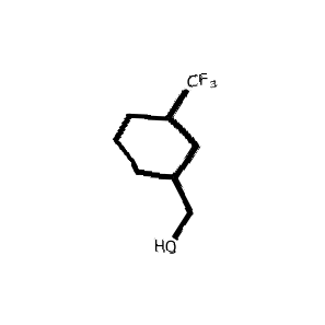 OCC1CCCC(C(F)(F)F)C1